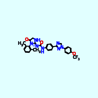 Cc1cccc(C)c1N1C(=O)CN/C1=N\C(=O)Nc1ccc(-c2ncn(-c3ccc(OC(F)(F)F)cc3)n2)cc1